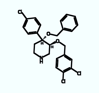 Clc1ccc([C@]2(OCc3ccccc3)CCNC[C@@H]2OCc2ccc(Cl)c(Cl)c2)cc1